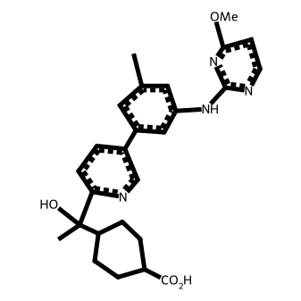 COc1ccnc(Nc2cc(C)cc(-c3ccc(C(C)(O)C4CCC(C(=O)O)CC4)nc3)c2)n1